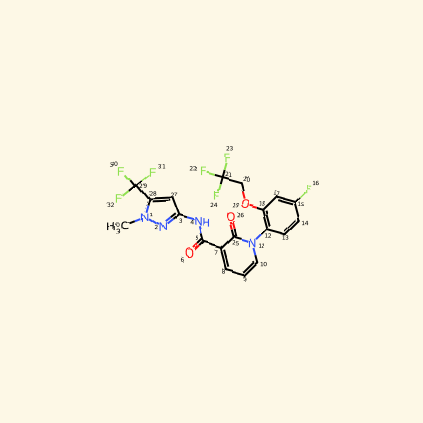 Cn1nc(NC(=O)c2cccn(-c3ccc(F)cc3OCC(F)(F)F)c2=O)cc1C(F)(F)F